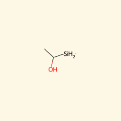 CC(O)[SiH2]